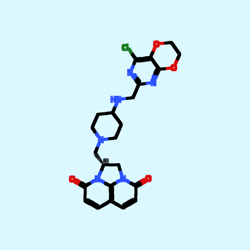 O=c1ccc2ccc(=O)n3c2n1C[C@H]3CN1CCC(NCc2nc(Cl)c3c(n2)OCCO3)CC1